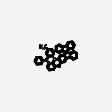 Cc1cccc(N(c2ccccc2)c2cccc3c2Oc2cc4c(cc2O3)-c2ccccc2C42c3ccccc3-c3ccccc32)c1